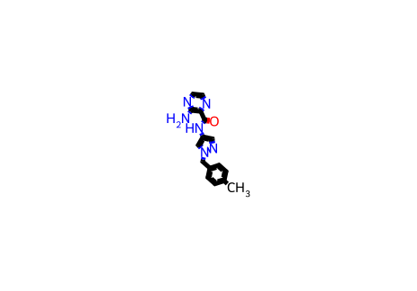 Cc1ccc(Cn2cc(NC(=O)c3nccnc3N)cn2)cc1